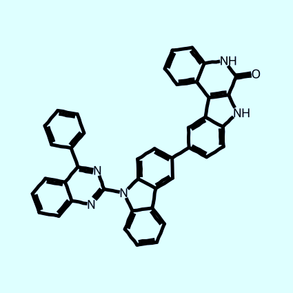 O=c1[nH]c2ccccc2c2c1[nH]c1ccc(-c3ccc4c(c3)c3ccccc3n4-c3nc(-c4ccccc4)c4ccccc4n3)cc12